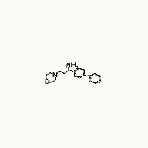 NC(CCN1CCOCC1)c1ccc(-c2ccccc2)cc1